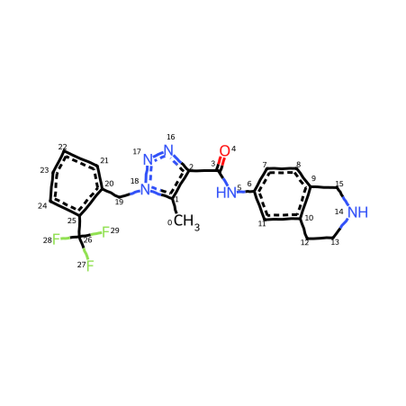 Cc1c(C(=O)Nc2ccc3c(c2)CCNC3)nnn1Cc1ccccc1C(F)(F)F